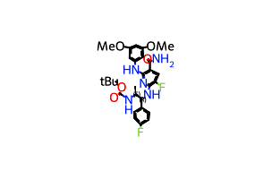 COc1cc(Nc2nc(N[C@H](c3ccc(F)cc3)[C@H](C)NC(=O)OC(C)(C)C)c(F)cc2C(N)=O)cc(OC)c1